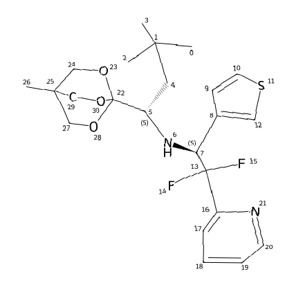 CC(C)(C)C[C@H](N[C@@H](c1ccsc1)C(F)(F)c1ccccn1)C12OCC(C)(CO1)CO2